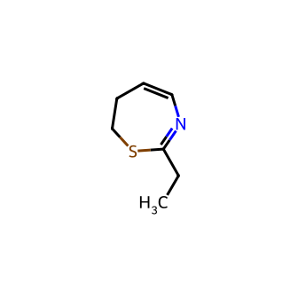 CCC1=NC=CCCS1